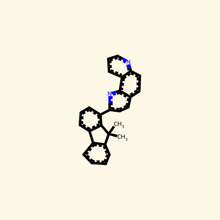 CC1(C)c2ccccc2-c2cccc(-c3ccc4ccc5ncccc5c4n3)c21